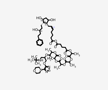 CC(OC(=O)CCCC(=O)OC(=O)CCC/C=C\C[C@H]1[C@H](CC[C@H](O)CCc2ccccc2)[C@@H](O)C[C@H]1O)C(=O)OC(C)C(=O)OC(C)C(=O)OC(C)C(=O)OC(C)C(=O)OC(CNC(C)(C)C)COc1nsnc1N1CCOCC1